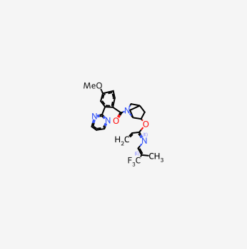 C=C/C(=N\C=C(/C)C(F)(F)F)OC1CC2CC1N(C(=O)c1ccc(OC)cc1-c1ncccn1)C2